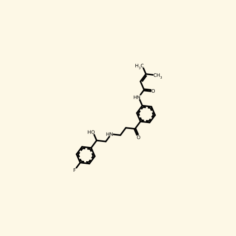 CC(C)=CC(=O)Nc1cccc(C(=O)CCNCC(O)c2ccc(F)cc2)c1